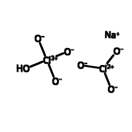 [Na+].[O-][Cl+2]([O-])[O-].[O-][Cl+3]([O-])([O-])O